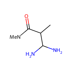 CNC(=O)C(C)C(N)N